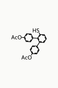 CC(=O)Oc1ccc(-c2cccc(S)c2-c2ccc(OC(C)=O)cc2)cc1